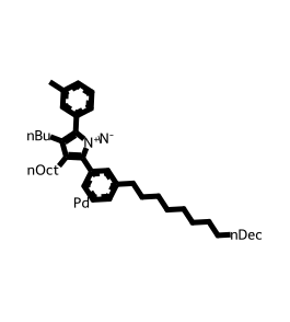 CCCCCCCCCCCCCCCCCCc1cccc(C2=C(CCCCCCCC)C(CCCC)=C(c3cccc(C)c3)[N+]2=[N-])c1.[Pd]